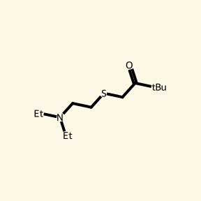 CCN(CC)CCSCC(=O)C(C)(C)C